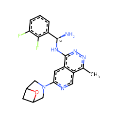 Cc1nnc(N[C@H](N)c2cccc(F)c2F)c2cc(N3CC4CC(C3)O4)ncc12